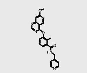 COc1ccc2c(Oc3cccc(C(=O)NCc4ccncc4)c3C)ncnc2c1